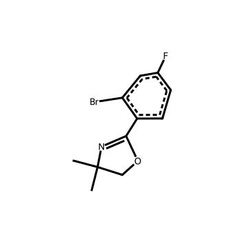 CC1(C)COC(c2ccc(F)cc2Br)=N1